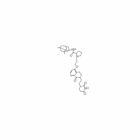 CC12CC3CC(C)(C1)CC(NC(=O)C1CCCN1CCCOc1cccc4c1CCC(CCC1CCC(=O)NC1=O)C4=O)(C3)C2